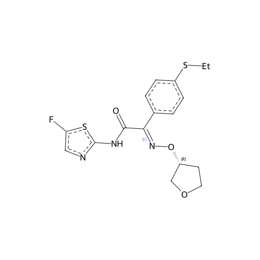 CCSc1ccc(/C(=N\O[C@@H]2CCOC2)C(=O)Nc2ncc(F)s2)cc1